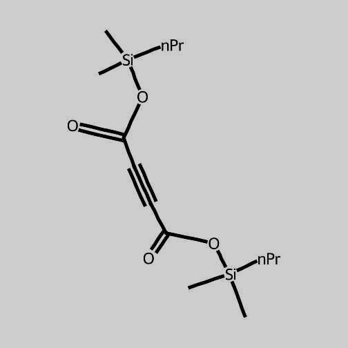 CCC[Si](C)(C)OC(=O)C#CC(=O)O[Si](C)(C)CCC